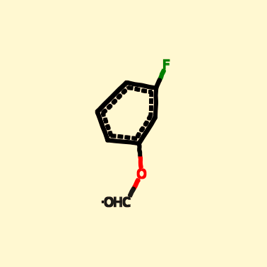 O=[C]Oc1cccc(F)c1